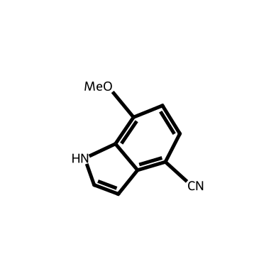 COc1ccc(C#N)c2cc[nH]c12